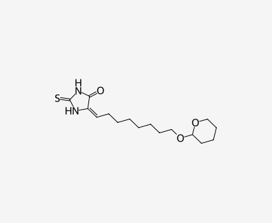 O=C1NC(=S)NC1=CCCCCCCCOC1CCCCO1